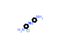 Nc1ccc(/N=N/c2ccc(N)c(Cl)c2)cc1